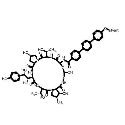 CCCCCOc1ccc(-c2ccc(-c3ccc(C(=O)NC4C[C@@H](O)CNC(=O)C5[C@@H](O)[C@@H](C)CN5C(=O)C([C@@H](C)O)NC(=O)C([C@H](O)[C@@H](O)c5ccc(O)cc5)NC(=O)C5C[C@@H](O)CN5C(=O)C([C@@H](C)O)NC4=O)cc3)cc2)cc1